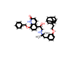 CC(C)(Cc1cccc(OCCC23CC4CC(CC(C4)C2)C3)c1)NCC(O)c1ccc(OCc2ccccc2)c2[nH]c(=O)ccc12